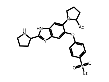 CCS(=O)(=O)c1ccc(Oc2cc3nc(C4CCCN4)[nH]c3cc2N2CCCC2C(C)=O)cc1